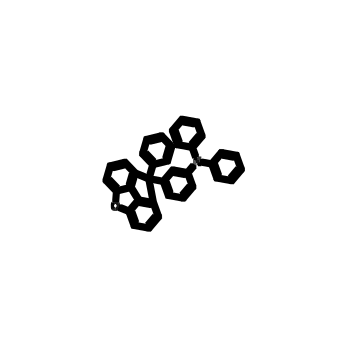 c1ccc(N(c2ccccc2)c2cccc(C3(c4ccccc4)c4cccc5oc6cccc3c6c45)c2)cc1